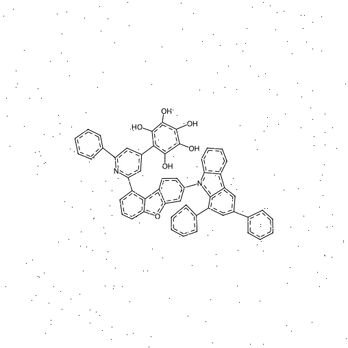 Oc1c(O)c(O)c(-c2cc(-c3ccccc3)nc(-c3cccc4oc5cc(-n6c7ccccc7c7cc(-c8ccccc8)cc(-c8ccccc8)c76)ccc5c34)c2)c(O)c1O